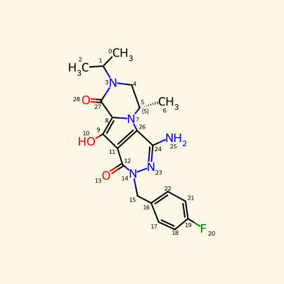 CC(C)N1C[C@H](C)n2c(c(O)c3c(=O)n(Cc4ccc(F)cc4)nc(N)c32)C1=O